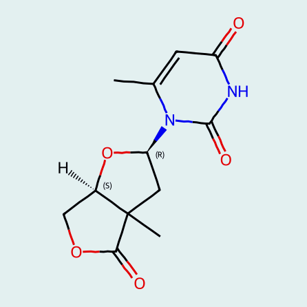 Cc1cc(=O)[nH]c(=O)n1[C@H]1CC2(C)C(=O)OC[C@H]2O1